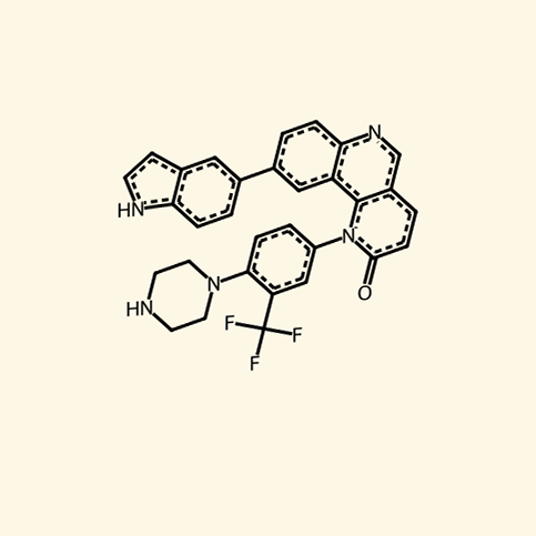 O=c1ccc2cnc3ccc(-c4ccc5[nH]ccc5c4)cc3c2n1-c1ccc(N2CCNCC2)c(C(F)(F)F)c1